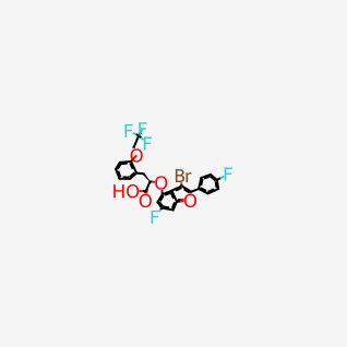 O=C(O)[C@@H](Cc1ccccc1OCC(F)(F)F)Oc1cc(F)cc2oc(-c3ccc(F)cc3)c(Br)c12